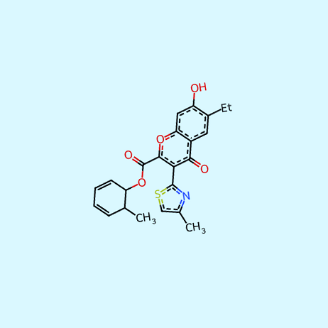 CCc1cc2c(=O)c(-c3nc(C)cs3)c(C(=O)OC3C=CC=CC3C)oc2cc1O